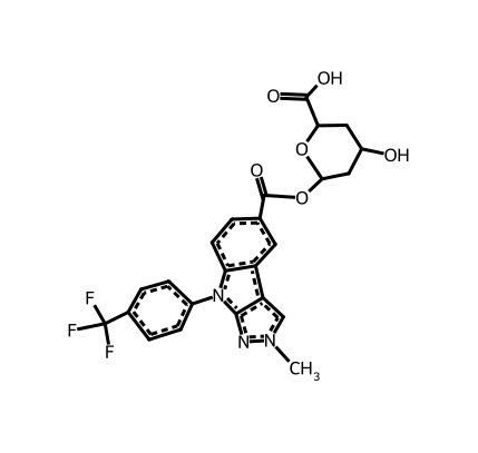 Cn1cc2c3cc(C(=O)OC4CC(O)CC(C(=O)O)O4)ccc3n(-c3ccc(C(F)(F)F)cc3)c2n1